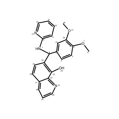 COc1ccc(C(Nc2ccccn2)c2ccc3cccnc3c2O)cc1OC